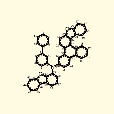 c1ccc(-c2cccc(N(c3ccc4c5ccccc5c5c(ccc6oc7ccccc7c65)c4c3)c3cccc4c3oc3ccccc34)c2)cc1